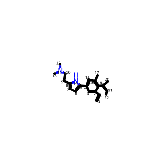 C=Cc1cc(-c2ccc(CCN(C)C)[nH]2)cc(C)c1/C(C)=C\C